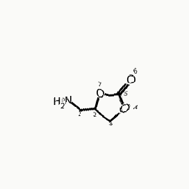 NCC1COC(=O)O1